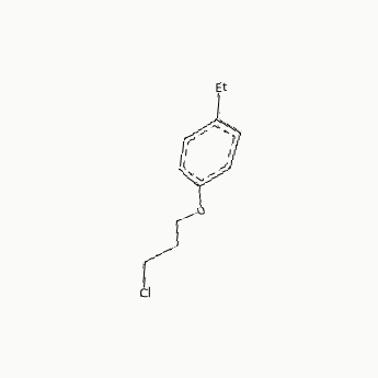 [CH2]Cc1ccc(OCCCCl)cc1